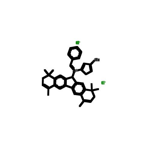 CC1=CCC(C)(C)c2cc3c(cc21)-c1cc2c(cc1[CH]3/[Zr+2](=[CH]/c1ccccc1)[C]1=CC(C(C)(C)C)=CC1)C(C)(C)CC=C2C.[Cl-].[Cl-]